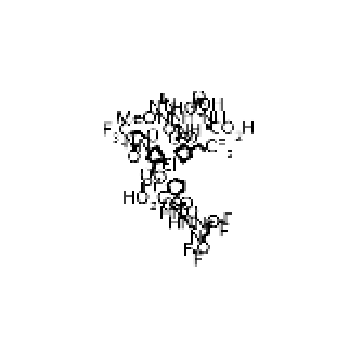 CC(C)OC(=O)c1cc(-n2c(=O)cc(C(F)(F)F)n(C)c2=O)ccc1Cl.COc1nc(C)nc(NC(=O)NS(=O)(=O)c2ccccc2CCC(F)(F)F)n1.O=C(Nc1nc(OC(F)F)cc(OC(F)F)n1)NS(=O)(=O)c1ccccc1C(=O)O.O=C(O)CNCP(=O)(O)O